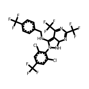 FC(F)(F)C1=NC2NN(c3c(Cl)cc(C(F)(F)F)cc3Cl)C(NCc3ccc(C(F)(F)F)cc3)=C2C(C(F)(F)F)=N1